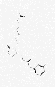 COC(=O)COCCCCN1C(=O)CC[C@H]1CCC(=O)Cc1cccc(Cl)c1